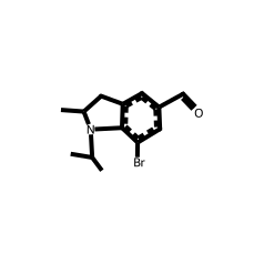 CC(C)N1c2c(Br)cc(C=O)cc2CC1C